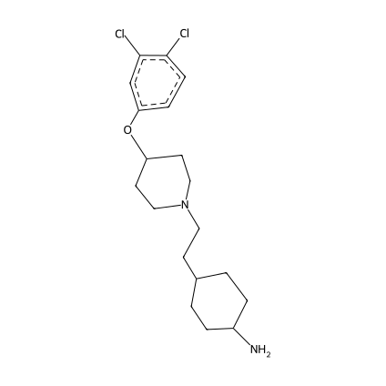 NC1CCC(CCN2CCC(Oc3ccc(Cl)c(Cl)c3)CC2)CC1